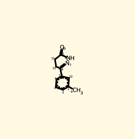 Cc1cccc(C2=NNC(=O)CC2)c1